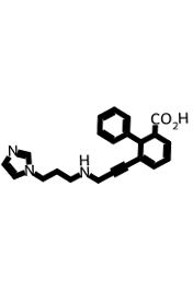 O=C(O)C1C=CC=C(C#CCNCCCn2ccnc2)C1c1ccccc1